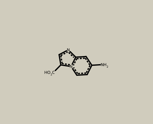 Nc1ccn2c(C(=O)O)cnc2c1